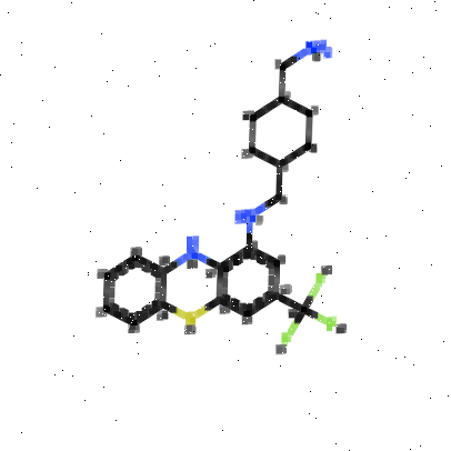 NCC1CCC(CNc2cc(C(F)(F)F)cc3c2Nc2ccccc2S3)CC1